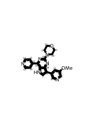 COc1cncc(-c2c[nH]c3c(-c4ccncc4)nc(N4CCOCC4)nc23)c1